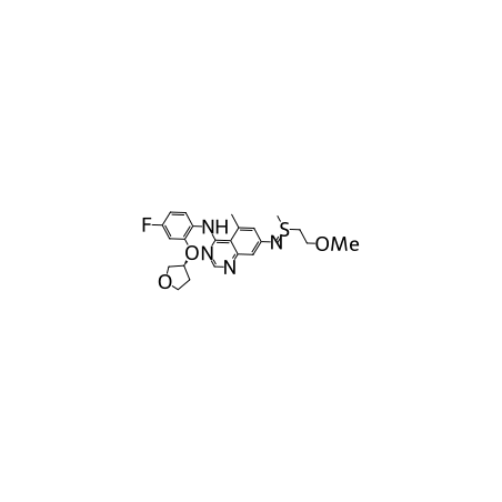 COCC/S(C)=N/c1cc(C)c2c(Nc3ccc(F)cc3O[C@H]3CCOC3)ncnc2c1